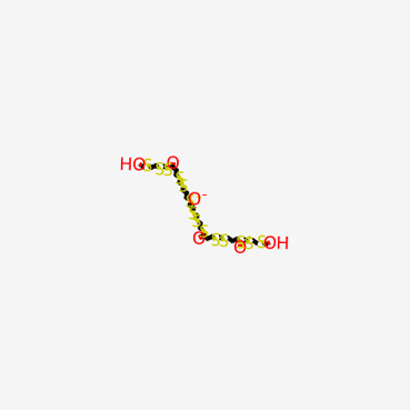 O=C(CCSCSCCC[S+]([O-])CSCCSCO)SCCSCSCC[S+]([O-])CCCSCSCCC(=O)SCSCCSCO